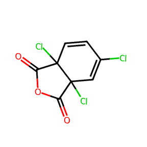 O=C1OC(=O)C2(Cl)C=C(Cl)C=CC12Cl